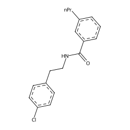 CCCc1cccc(C(=O)NCCc2ccc(Cl)cc2)c1